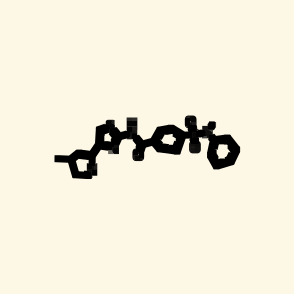 CC1C=C(c2csc(NC(=O)c3ccc(S(=O)(=O)N(C)c4ccccc4)cc3)n2)N=CC1